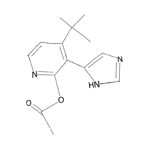 CC(=O)Oc1nccc(C(C)(C)C)c1-c1cnc[nH]1